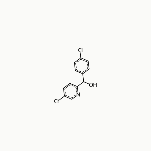 OC(c1ccc(Cl)cc1)c1ccc(Cl)cn1